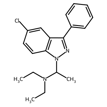 CCN(CC)C(C)n1nc(-c2ccccc2)c2cc(Cl)ccc21